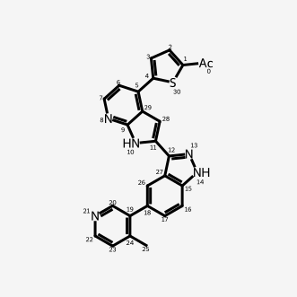 CC(=O)c1ccc(-c2ccnc3[nH]c(-c4n[nH]c5ccc(-c6cnccc6C)cc45)cc23)s1